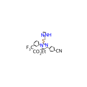 CCOC(=O)C1=C(C)N(c2cccc(C(F)(F)F)c2)C(SCc2ncc[nH]2)=NC1c1ccc(C#N)cc1